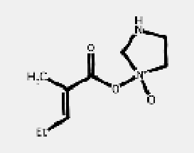 CCC=C(C)C(=O)O[N+]1([O-])CCNC1